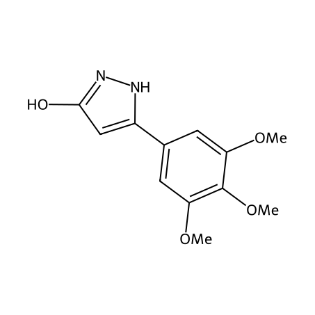 COc1cc(-c2cc(O)n[nH]2)cc(OC)c1OC